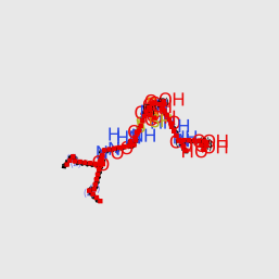 CCCCC/C=C\C/C=C\CCCCCCCCC1(CCCCCCCC/C=C\C/C=C\CCCCC)OCC(CCN(C)CCCCNC(=O)CCCOc2ccc(C(C)NNC(=O)CCSSCCCC(=O)N3C[C@H](OP(=O)(O)OC[C@@H]4C[C@@H](O)CN4C(=O)CCCCCNC(=O)CCCCCNC(=O)[C@H](CCCCC)NC(=O)CCCCOC4OC(CO)[C@H](O)[C@H](O)[C@@H]4C)C[C@H]3COP(=O)(O)S)cc2)O1